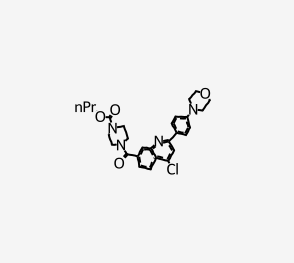 CCCOC(=O)N1CCN(C(=O)c2ccc3c(Cl)cc(-c4ccc(N5CCOCC5)cc4)nc3c2)CC1